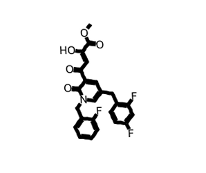 COC(=O)C(O)=CC(=O)c1cc(Cc2ccc(F)cc2F)cn(Cc2ccccc2F)c1=O